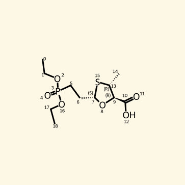 CCOP(=O)(CC[C@H]1O[C@H](C(=O)O)[C@@H](C)S1)OCC